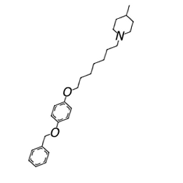 CC1CCN(CCCCCCCOc2ccc(OCc3ccccc3)cc2)CC1